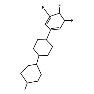 CC1CCC(C2CCC(C3=CC(F)C(F)C(F)=C3)CC2)CC1